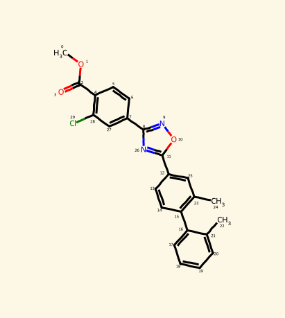 COC(=O)c1ccc(-c2noc(-c3ccc(-c4ccccc4C)c(C)c3)n2)cc1Cl